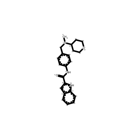 CN(Cc1ccc(NC(=O)c2cc3ccccc3[nH]2)cc1)C1CCOCC1